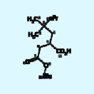 CCCC(C)(C)CC(CC(=O)OC(C)(C)C)C(=O)O